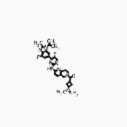 Cc1nc2c(F)cc(-c3nc(Nc4ccc5c(n4)CCN(C(=O)C4CC(N(C)C)C4)C5)ncc3F)cc2n1C(C)C